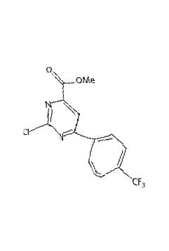 COC(=O)c1cc(-c2ccc(C(F)(F)F)cc2)nc(Cl)n1